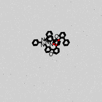 c1ccc(-c2nc(-c3ccccc3)nc(-c3ccc4oc5cccc(-c6ccc7oc8cccc(-c9ccccc9)c8c7c6)c5c4c3-n3c4ccccc4c4ccccc43)n2)cc1